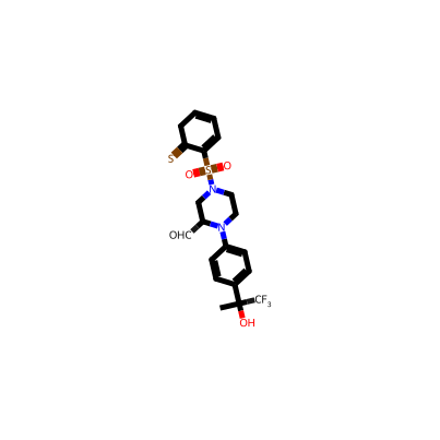 CC(O)(c1ccc(N2CCN(S(=O)(=O)C3=CC=CCC3=S)CC2C=O)cc1)C(F)(F)F